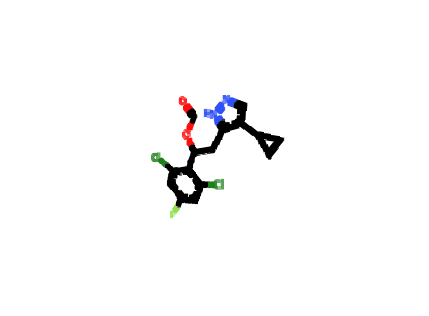 O=COC(Cc1[nH]ncc1C1CC1)c1c(Cl)cc(F)cc1Cl